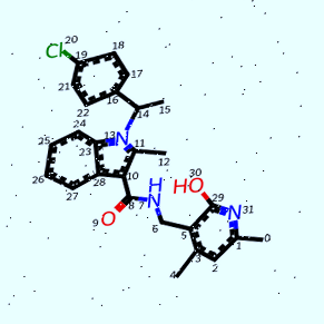 Cc1cc(C)c(CNC(=O)c2c(C)n(C(C)c3ccc(Cl)cc3)c3ccccc23)c(O)n1